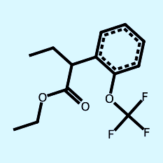 CCOC(=O)C(CC)c1ccccc1OC(F)(F)F